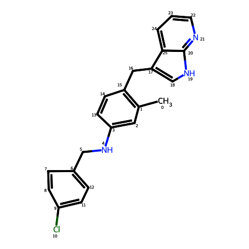 Cc1cc(NCc2ccc(Cl)cc2)ccc1Cc1c[nH]c2ncccc12